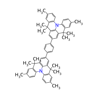 Cc1ccc2c(c1)C(C)(C)c1cc(-c3ccc(-c4cc5c6c(c4)C(C)(C)c4cc(C)ccc4N6c4ccc(C)cc4C5(C)C)cc3)cc3c1N2c1ccc(C)cc1C3(C)C